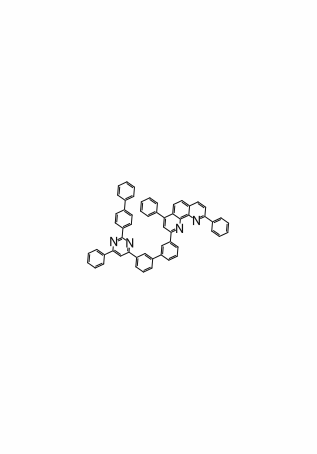 c1ccc(-c2ccc(-c3nc(-c4ccccc4)cc(-c4cccc(-c5cccc(-c6cc(-c7ccccc7)c7ccc8ccc(-c9ccccc9)nc8c7n6)c5)c4)n3)cc2)cc1